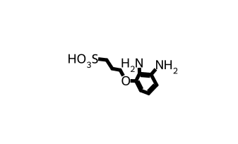 Nc1cccc(OCCCS(=O)(=O)O)c1N